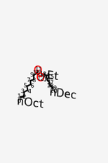 CCCCCCCCC=CCCCCCCCC(=O)OCC(CC)CCCCCCCCCCCCCC